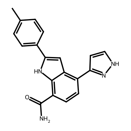 Cc1ccc(-c2cc3c(-c4cc[nH]n4)ccc(C(N)=O)c3[nH]2)cc1